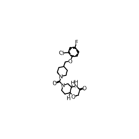 O=C1CO[C@@H]2CCN(C(=O)N3CCC(COc4ccc(F)cc4Cl)CC3)C[C@@H]2N1